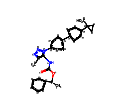 C[C@@H](OC(=O)Nc1c(C(F)(F)F)nnn1-c1ccc(-c2ccc(C3(C(=O)O)CC3)cc2)cc1)c1ccccc1